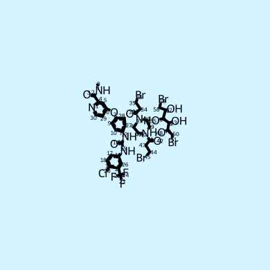 CNC(=O)c1cc(Oc2ccc(NC(=O)Nc3ccc(Cl)c(C(F)(F)F)c3)cc2)ccn1.O=C(CCBr)N1CCN(C(=O)CCBr)CC1.OC(CBr)C(O)C(O)C(O)CBr